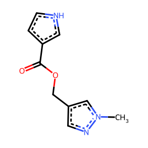 Cn1cc(COC(=O)c2cc[nH]c2)cn1